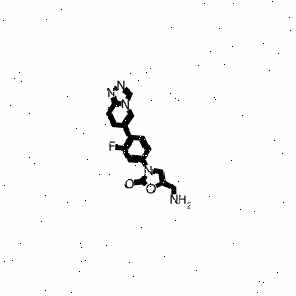 NCC1CN(c2ccc(-c3ccc4nncn4c3)c(F)c2)C(=O)O1